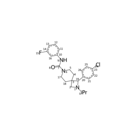 CC(C)N1CC2(CCN(C(=O)Nc3cccc(F)c3)CC2)C1c1ccc(Cl)cc1